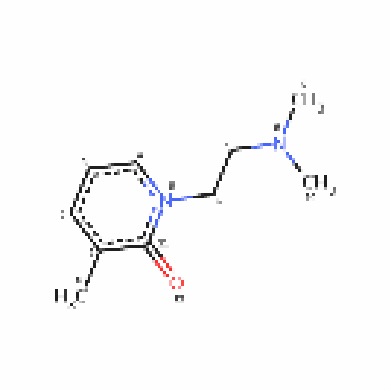 Cc1cccn(CCN(C)C)c1=O